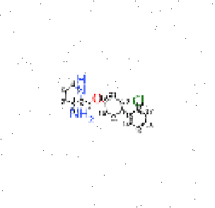 NC1CCCNC1COC1CCC(c2ccccc2Cl)CC1